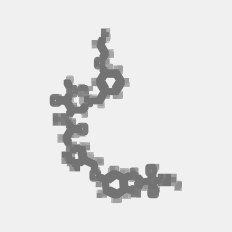 COC(=O)C(C[S+]([O-])Cc1cccc(OCCF)c1)NC(=O)Cn1cc(COc2ccc3nc(S(N)(=O)=O)sc3c2)nn1